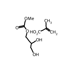 C=C(C)C(=O)O.COC(=O)OCC(O)CO